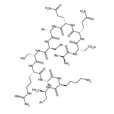 CC[C@H](C)[C@H](N)C(=O)N[C@@H](CC(=O)O)C(=O)N[C@@H](CCC(N)=O)C(=O)N[C@@H](CCC(N)=O)C(=O)N[C@H](C(=O)N[C@@H](CC(C)C)C(=O)N[C@@H](CO)C(=O)N[C@@H](CCCNC(=N)N)C(=O)N[C@H](C(=O)N[C@@H](CCCCN)C(=O)N[C@@H](CC(C)C)C(=O)O)[C@@H](C)CC)C(C)C